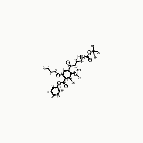 CCCCOc1cc(C(=O)CCCNC(=O)OC(C)(C)C)c(N(C)C)c(C)c1C(=O)Oc1ccccc1